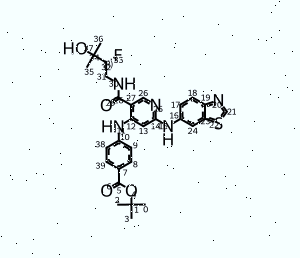 CC(C)(C)OC(=O)c1ccc(Nc2cc(Nc3ccc4ncsc4c3)ncc2C(=O)NC[C@@H](F)C(C)(C)O)cc1